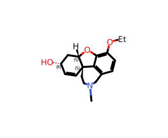 CCOc1ccc2c3c1O[C@H]1C[C@@H](O)C=C[C@@]31CCN(C)C2